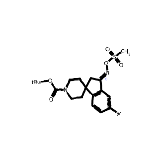 CC(C)(C)OC(=O)N1CCC2(CC1)C/C(=N\OS(C)(=O)=O)c1cc(Br)ccc12